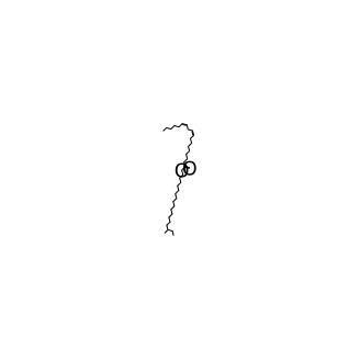 CCCCC/C=C\C/C=C\CCCCCCCC(=O)OCCCCCCCCCCCCCCC(C)CC